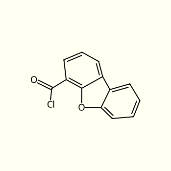 O=C(Cl)c1cccc2c1oc1ccccc12